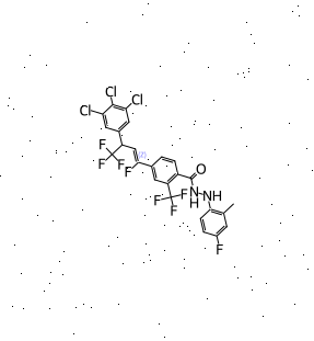 Cc1cc(F)ccc1NNC(=O)c1ccc(/C(F)=C/C(c2cc(Cl)c(Cl)c(Cl)c2)C(F)(F)F)cc1C(F)(F)F